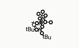 CC(C)(C)c1ccc(N(c2ccc(C(C)(C)C)cc2)c2ccc3c(c2)N(c2ccc4c(c2)C(C)(C)CCC4(C)C)B2c4cccc5c4N(c4ccccc4C5(c4ccccc4)c4ccccc4)c4cc(-c5ccccc5)cc-3c42)cc1